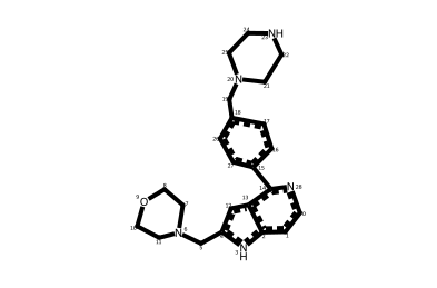 c1cc2[nH]c(CN3CCOCC3)cc2c(-c2ccc(CN3CCNCC3)cc2)n1